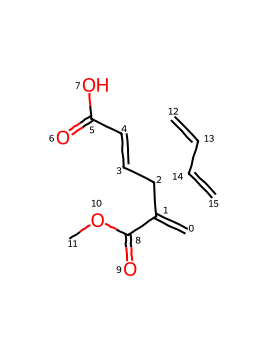 C=C(CC=CC(=O)O)C(=O)OC.C=CC=C